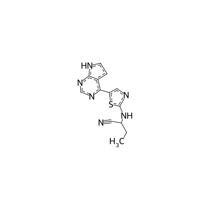 CCC(C#N)Nc1ncc(-c2ncnc3[nH]ccc23)s1